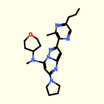 CCCc1cnc(-c2cc3nc(N4CCCC4)cc(N(C)C4CCOCC4)n3n2)c(C)n1